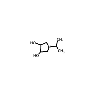 CC(C)N1CC(O)C(O)C1